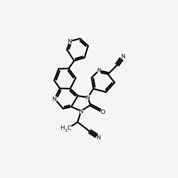 CC(C#N)n1c(=O)n(-c2ccc(C#N)nc2)c2c3cc(-c4cccnc4)ccc3ncc21